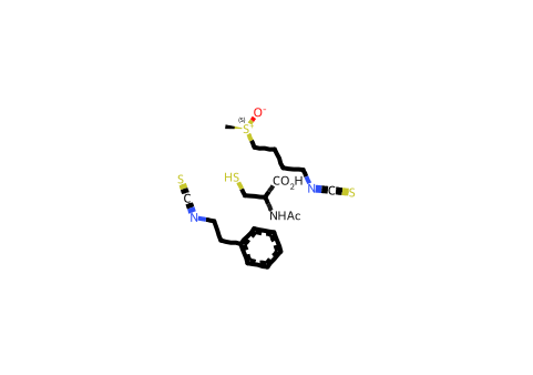 CC(=O)NC(CS)C(=O)O.C[S@@+]([O-])CCCCN=C=S.S=C=NCCc1ccccc1